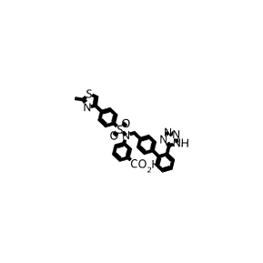 Cc1nc(-c2ccc(S(=O)(=O)N(Cc3ccc(-c4ccccc4-c4nnn[nH]4)cc3)c3cccc(C(=O)O)c3)cc2)cs1